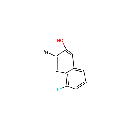 [2H]c1cc2c(F)cccc2cc1O